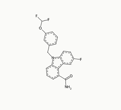 NC(=O)c1cccc2c1c1[c]c(F)ccc1n2Cc1cccc(OC(F)F)c1